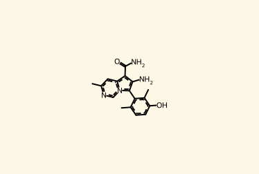 Cc1cc2c(C(N)=O)c(N)c(-c3c(C)ccc(O)c3C)n2cn1